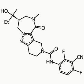 CCC(C)(O)[C@H]1CN(C)C(=O)c2c3c(nn2C1)CCN(C(=O)Nc1ccc(F)c(C#N)c1F)C3